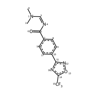 CN(C)/C=N\C(=O)c1ccc(-c2noc(C(F)(F)F)n2)cc1